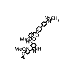 COc1nc(-c2n[nH]c3ccc(NC(=O)[C@]4(SC)CCN(CC(=O)N5CCC(c6ccc(-c7ncn(C)n7)cc6)CC5)C4)cc23)ccc1OC1CC1